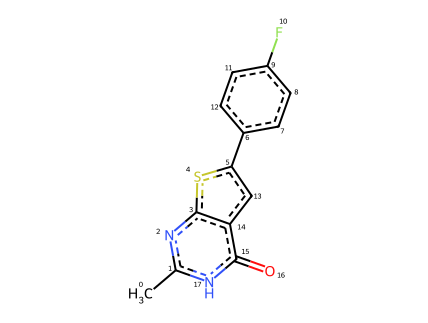 Cc1nc2sc(-c3ccc(F)cc3)cc2c(=O)[nH]1